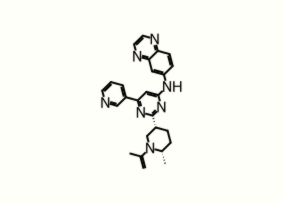 C=C(C)N1C[C@H](c2nc(Nc3ccc4nccnc4c3)cc(-c3cccnc3)n2)CC[C@@H]1C